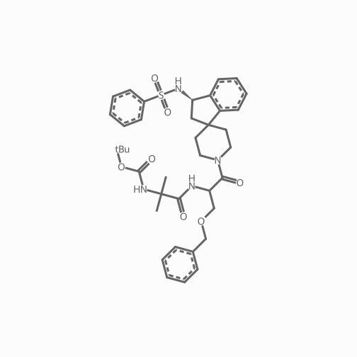 CC(C)(C)OC(=O)NC(C)(C)C(=O)NC(COCc1ccccc1)C(=O)N1CCC2(CC1)C[C@@H](NS(=O)(=O)c1ccccc1)c1ccccc12